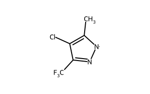 CC1=C(Cl)C(C(F)(F)F)=N[N]1